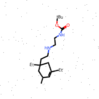 CCC1=CC(C)CC(CC)(CCNCCNC(=O)OC(C)(C)C)C1